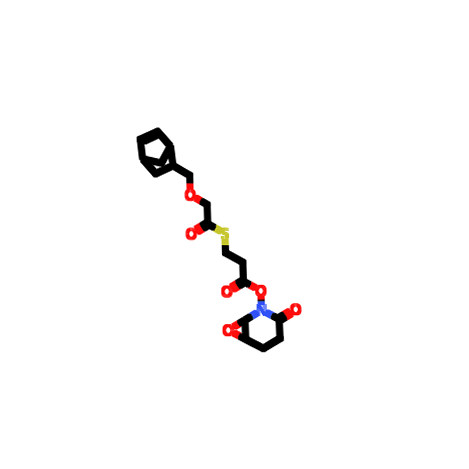 O=C(CCSC(=O)COCC1CC2C=CC1C2)ON1C(=O)CCC2OC21